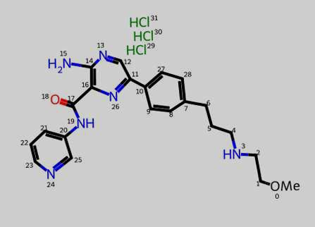 COCCNCCCc1ccc(-c2cnc(N)c(C(=O)Nc3cccnc3)n2)cc1.Cl.Cl.Cl